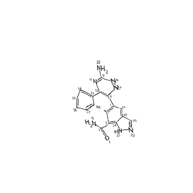 NC(=O)c1cc(-c2nnc(N)nc2-c2ccccc2)cc2cn[nH]c12